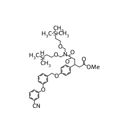 COC(=O)CC(CS(=O)(=O)N(COCC[SiH](C)C)COCC[Si](C)(C)C)c1ccc(OCc2cccc(Oc3cccc(C#N)c3)c2)cc1